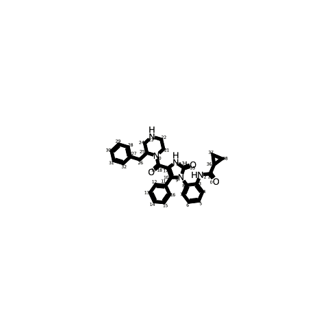 O=C(Nc1ccccc1-n1c(-c2ccccc2)c(C(=O)N2CCNCC2Cc2ccccc2)[nH]c1=O)C1CC1